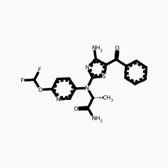 C[C@H](C(N)=O)N(c1ccc(OC(F)F)nc1)c1nc(N)c(C(=O)c2ccccc2)s1